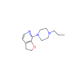 CCCN1CCN(c2nccc3c2OCC3)CC1